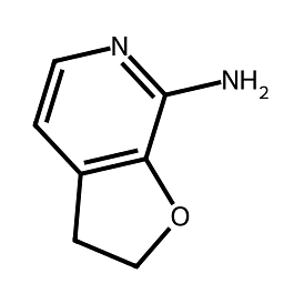 Nc1nccc2c1OCC2